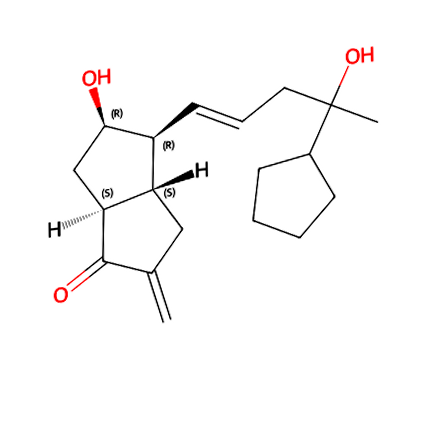 C=C1C[C@H]2[C@H](C=CCC(C)(O)C3CCCC3)[C@H](O)C[C@@H]2C1=O